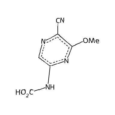 COc1nc(NC(=O)O)cnc1C#N